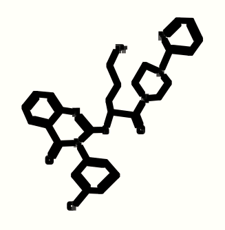 CC(C)CCCC(Sc1nc2ccccc2c(=O)n1-c1cccc(Cl)c1)C(=O)N1CCN(c2ccccn2)CC1